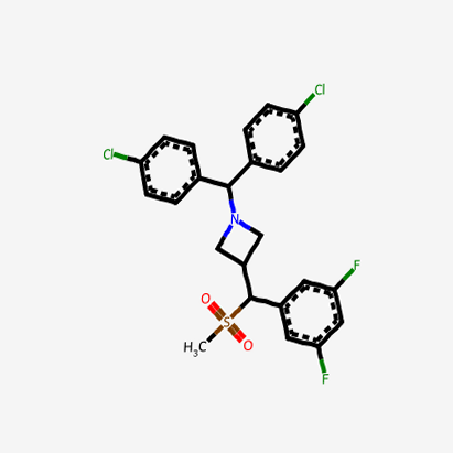 CS(=O)(=O)C(c1cc(F)cc(F)c1)C1CN(C(c2ccc(Cl)cc2)c2ccc(Cl)cc2)C1